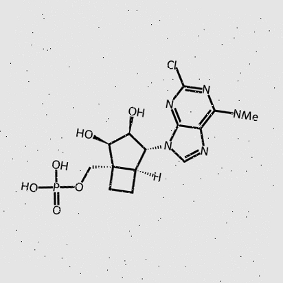 CNc1nc(Cl)nc2c1ncn2[C@H]1[C@H](O)[C@H](O)[C@]2(COP(=O)(O)O)CC[C@H]12